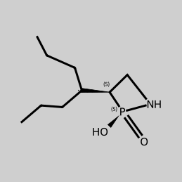 CCC[C](CCC)[C@H]1CN[P@@]1(=O)O